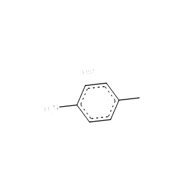 Br.Cc1ccc(N)cc1